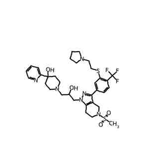 CS(=O)(=O)N1CCc2c(c(-c3ccc(C(F)(F)F)c(SCCN4CCCC4)c3)nn2CC(O)CN2CCC(O)(c3ccccn3)CC2)C1